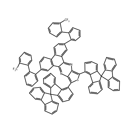 FC(F)(F)c1ccccc1-c1ccccc1-c1ccc2c3ccc(-c4ccccc4-c4ccccc4C(F)(F)F)cc3c3nc4c(-c5cccc6c5-c5ccccc5C65c6ccccc6-c6ccccc65)sc(-c5cccc6c5-c5ccccc5C65c6ccccc6-c6ccccc65)c4nc3c2c1